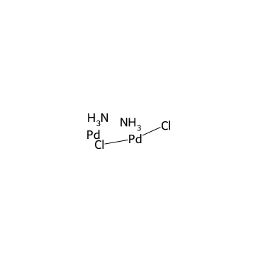 N.N.[Cl][Pd][Cl].[Pd]